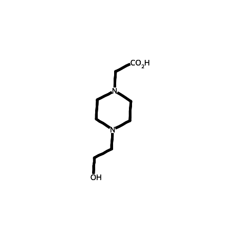 O=C(O)CN1CCN(CCO)CC1